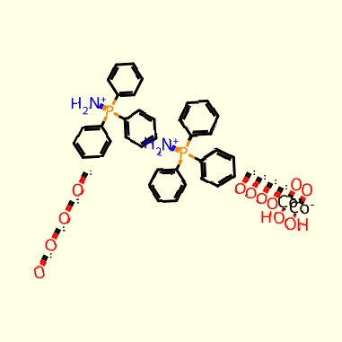 [C]=O.[C]=O.[C]=O.[C]=O.[C]=O.[C]=O.[C]=O.[C]=O.[NH2+]=P(c1ccccc1)(c1ccccc1)c1ccccc1.[NH2+]=P(c1ccccc1)(c1ccccc1)c1ccccc1.[O]=[Co-][OH].[O]=[Co-][OH]